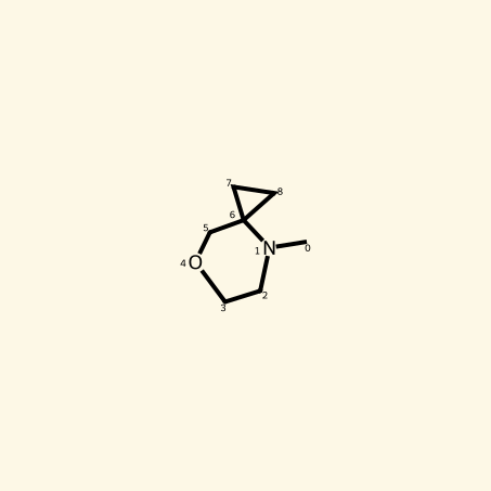 CN1CCOCC12CC2